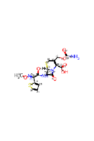 CO/N=C(/C(=O)N[C@@H]1C(=O)N2C(C(=O)O)=C(COC(N)=O)CS[C@H]12)c1cccs1